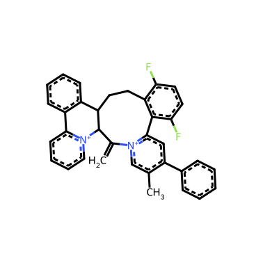 C=C1C2C(CCc3c(F)ccc(F)c3-c3cc(-c4ccccc4)c(C)c[n+]31)c1ccccc1-c1cccc[n+]12